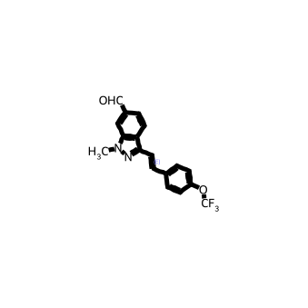 Cn1nc(/C=C/c2ccc(OC(F)(F)F)cc2)c2ccc(C=O)cc21